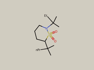 CCCC(C)(C)C1CCCN(C(C)(C)CC)S1(=O)=O